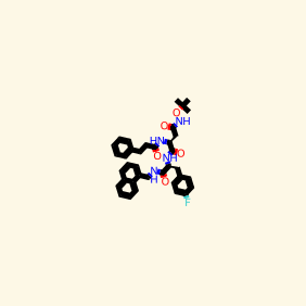 CC(C)(C)ONC(=O)C[C@H](NC(=O)CCc1ccccc1)C(=O)N[C@@H](Cc1ccc(F)cc1)C(=O)NCc1cccc2ccccc12